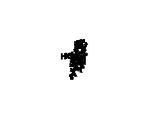 C=CC[C@@H]1CC[C@H]2[C@@H]3CCC4=CC5(C=C[C@]4(C)[C@H]3[C@@H](O)C[C@]12C)OCO5